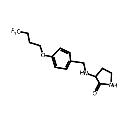 O=C1NCCC1NCc1ccc(OCCCC(F)(F)F)cc1